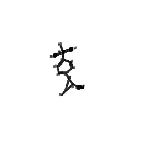 CC1C(O)C1c1ccc(S(C)(=O)=O)cc1